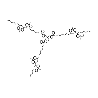 CCCCCCC(CCC(CCCCCCCC(=O)OCC(CC)(COC(=O)CCCCCCCC(CCC(CCCCCC)OC(C)=O)OC(C)=O)COC(=O)CCCCCCCC(CCC(CCCCCC)OC(C)=O)OC(C)=O)OC(C)=O)OC(C)=O